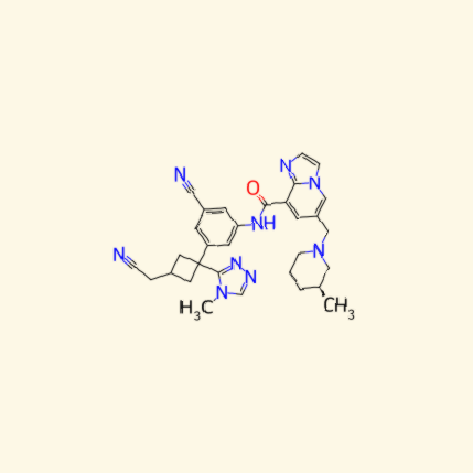 C[C@H]1CCCN(Cc2cc(C(=O)Nc3cc(C#N)cc(C4(c5nncn5C)CC(CC#N)C4)c3)c3nccn3c2)C1